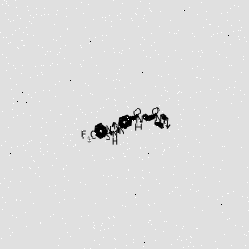 CN1CCN(C(=O)CCNC(=O)c2ccc3c(c2)nc(Nc2nc4ccc(C(F)(F)F)cc4s2)n3C)CC1